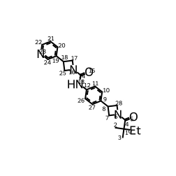 CCC(C)(C)C(=O)N1CC(c2ccc(NC(=O)N3CC(c4cccnc4)C3)cc2)C1